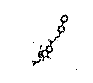 CC[C@]12CCN(CC3CC3)[C@H](C(=O)c3ccc(C(=O)NCCc4ccc(-c5ccccc5)cc4)cc31)[C@H]2C